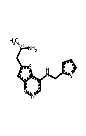 C[C@H](N)Cc1cc2nncc(NCc3cccs3)c2s1